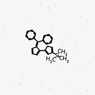 C[Si](C)(C)C1=CCC(C2=CC=CC2=C(c2ccccc2)c2ccccc2)=C1